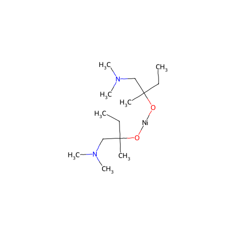 CCC(C)(CN(C)C)[O][Ni][O]C(C)(CC)CN(C)C